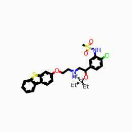 CC[Si](CC)(CC)OC(CNCCOc1ccc2c(c1)sc1ccccc12)c1ccc(Cl)c(NS(C)(=O)=O)c1